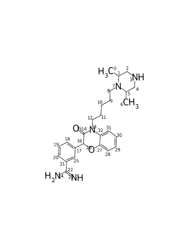 CC1CNCC(C)N1CCCCCN1C(=O)C(c2cccc(C(=N)N)c2)Oc2ccccc21